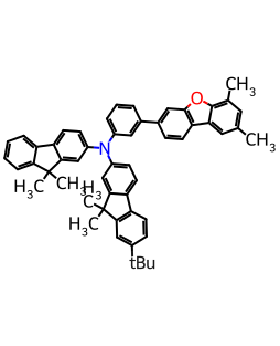 Cc1cc(C)c2oc3cc(-c4cccc(N(c5ccc6c(c5)C(C)(C)c5ccccc5-6)c5ccc6c(c5)C(C)(C)c5cc(C(C)(C)C)ccc5-6)c4)ccc3c2c1